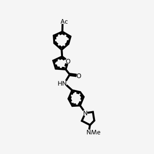 CNC1CCN(c2ccc(NC(=O)c3ccc(-c4ccc(C(C)=O)cc4)o3)cc2)C1